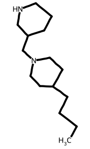 CCCCC1CCN(CC2CCCNC2)CC1